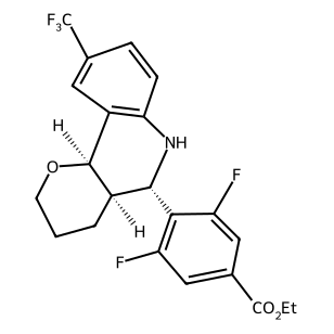 CCOC(=O)c1cc(F)c([C@H]2Nc3ccc(C(F)(F)F)cc3[C@@H]3OCCC[C@H]23)c(F)c1